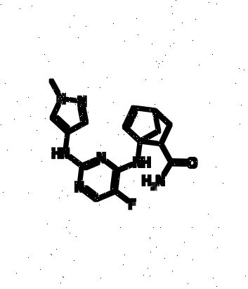 Cn1cc(Nc2ncc(F)c(NC34C=CC(CC3C(N)=O)C4)n2)cn1